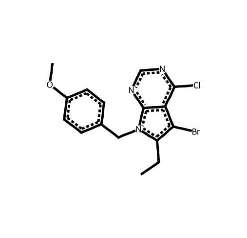 CCc1c(Br)c2c(Cl)ncnc2n1Cc1ccc(OC)cc1